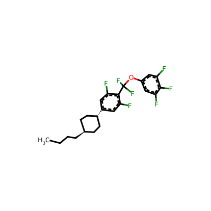 CCCC[C@H]1CC[C@H](c2cc(F)c(C(F)(F)Oc3cc(F)c(F)c(F)c3)c(F)c2)CC1